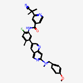 COc1ccc(CN(C)c2cc3ncc(-c4cc(NC(=O)c5ccnc(C(C)(C)C#N)c5)c(F)cc4C)cc3cn2)cc1